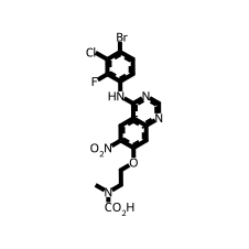 CN(CCOc1cc2ncnc(Nc3ccc(Br)c(Cl)c3F)c2cc1[N+](=O)[O-])C(=O)O